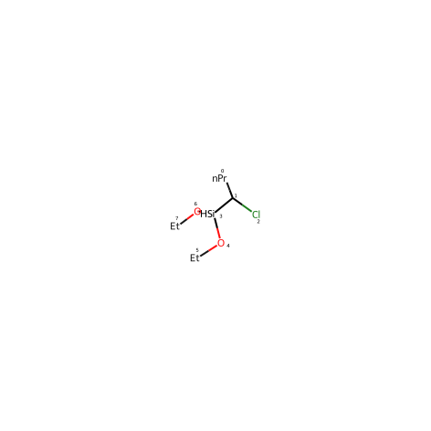 CCCC(Cl)[SiH](OCC)OCC